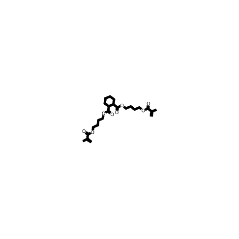 C=C(C)C(=O)OCCCCOC(=O)C1CCCCC1C(=O)OCCCCOC(=O)C(=C)C